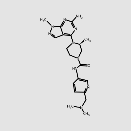 C[C@H]1CN(C(=O)Nc2ccc(CN(C)C)nc2)CCN1c1nc(N)nc2c1cnn2C